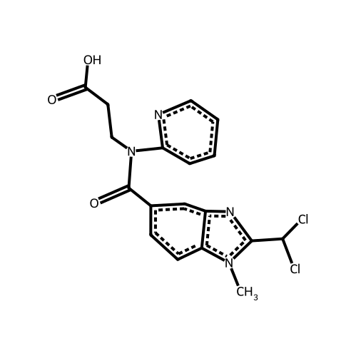 Cn1c(C(Cl)Cl)nc2cc(C(=O)N(CCC(=O)O)c3ccccn3)ccc21